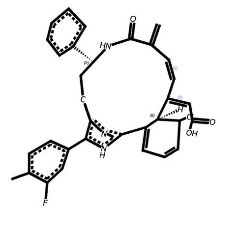 C=C1/C=C\C(=C\C(=O)O)[C@@H]2C(=CC=CC2Cl)c2nc(c(-c3ccc(C)c(F)c3)[nH]2)CC[C@H](c2ccccc2)NC1=O